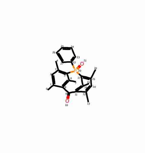 Cc1cc(C)c2c(C)c1C(=O)c1c(C)cc(C)c(c1C)P2(=O)c1ccccc1